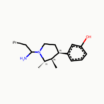 CC(C)CC(N)N1CC[C@@H](c2cccc(O)c2)[C@@H](C)[C@@H]1C